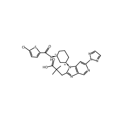 CC(C)(Cc1nc2cnc(-n3nccn3)cc2n1[C@@H]1CCC[C@H](NC(=O)c2ccc(Cl)s2)C1)C(=O)O